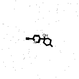 C#Cc1ccc(C2(O)CCC(C)CC2)cn1